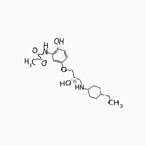 CCC1CC[C](NC[C@H](O)COc2ccc(O)c(NS(C)(=O)=O)c2)CC1